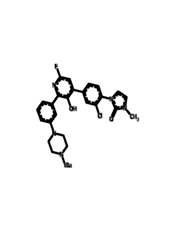 Cn1ccn(-c2ccc(-c3cc(F)nc(-c4cccc(N5CCN(C(C)(C)C)CC5)c4)c3O)cc2Cl)c1=O